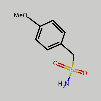 COc1ccc(CS(N)(=O)=O)cc1